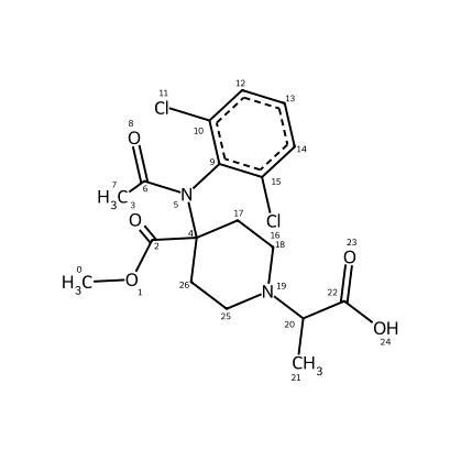 COC(=O)C1(N(C(C)=O)c2c(Cl)cccc2Cl)CCN(C(C)C(=O)O)CC1